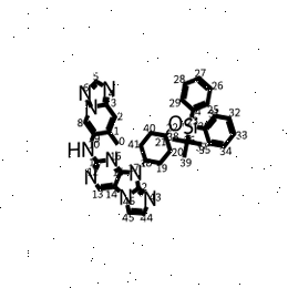 Cc1cc2ncnn2cc1Nc1ncc2c(n1)n([C@H]1CC[C@H](O[Si](c3ccccc3)(c3ccccc3)C(C)(C)C)CC1)c1nccn21